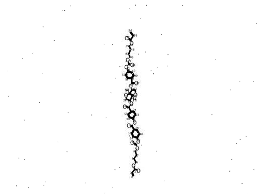 C=CC(=O)OCCCCOC(=O)Oc1ccc(C(=O)Oc2ccc(C(=O)O[C@H]3CO[C@H]4[C@@H]3OC[C@H]4OC(=O)c3ccc(OC(=O)OCCCCOC(=O)C=C)cc3)cc2)cc1